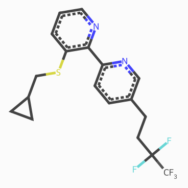 FC(F)(F)C(F)(F)CCc1ccc(-c2ncccc2SCC2CC2)nc1